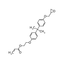 C=CC(=O)OCCOc1ccc(C(C)(C)c2ccc(OCC3CO3)cc2)cc1